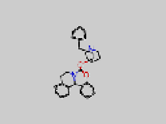 O=C(OC1C2CCN(CC2)C1Cc1ccccc1)N1CCc2ccccc2C1c1ccccc1